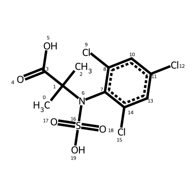 CC(C)(C(=O)O)N(c1c(Cl)cc(Cl)cc1Cl)S(=O)(=O)O